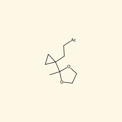 CC(=O)CCC1(C2(C)OCCO2)CC1